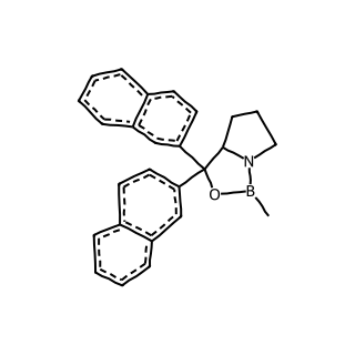 CB1OC(c2ccc3ccccc3c2)(c2ccc3ccccc3c2)C2CCCN12